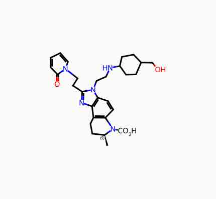 C[C@H]1CCc2c(ccc3c2nc(CCn2ccccc2=O)n3CCNC2CCC(CO)CC2)N1C(=O)O